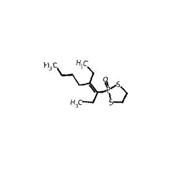 CCCC/C(CC)=C(\CC)P1(=O)SCCS1